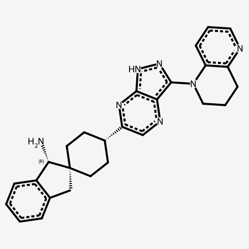 N[C@H]1c2ccccc2C[C@]12CC[C@@H](c1cnc3c(N4CCCc5ncccc54)n[nH]c3n1)CC2